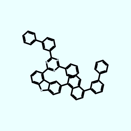 c1ccc(-c2cccc(-c3nc(-c4ccccc4)nc(-c4cccc5oc6ccc(-c7cccc8c(-c9cccc(-c%10ccccc%10)c9)cccc78)cc6c45)n3)c2)cc1